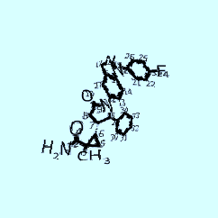 CC1(C(N)=O)CC1[C@@H]1CC(=O)N(c2ccc3c(cnn3-c3ccc(F)cc3)c2)[C@H]1c1ccccc1